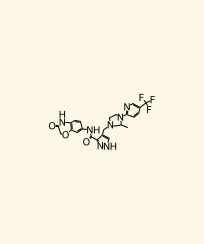 CC1CN(Cc2c[nH]nc2C(=O)Nc2ccc3c(c2)OCC(=O)N3)CCN1c1ccc(C(F)(F)F)cn1